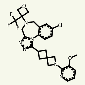 COc1cccnc1N1CC2(CC(c3nnc4n3-c3ccc(Cl)cc3CN(C3(C(F)(F)F)COC3)C4)C2)C1